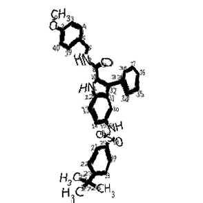 COc1ccc(CNC(=O)c2[nH]c3ccc(NS(=O)(=O)c4ccc(C(C)(C)C)cc4)cc3c2-c2ccccc2)cc1